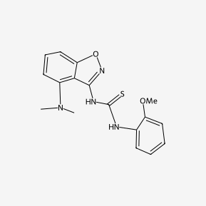 COc1ccccc1NC(=S)Nc1noc2cccc(N(C)C)c12